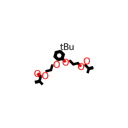 C=C(C)C(=O)OCCCOc1ccc(C(C)(C)C)cc1OCCCOC(=O)C(=C)C